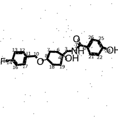 O=C(NC[C@]1(O)CC[C@@H](OCc2ccc(F)cc2)CC1)c1ccc(O)cc1